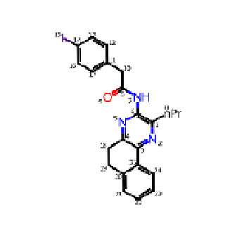 CCCc1nc2c(nc1NC(=O)Cc1ccc(I)cc1)CCc1ccccc1-2